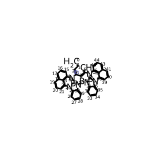 C=C/C=C1\C2=C(C)N3B4N(B2N2B5N1c1cccc6cccc(c16)N5c1ccccc12)c1ccccc1N4c1cccc2cccc3c12